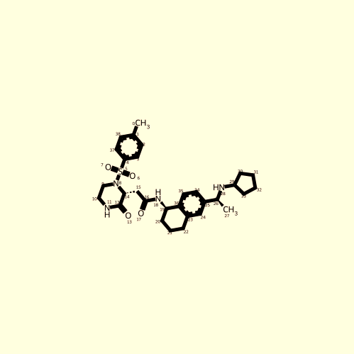 Cc1ccc(S(=O)(=O)N2CCNC(=O)[C@H]2CC(=O)N[C@@H]2CCCc3cc([C@H](C)NC4CCCC4)ccc32)cc1